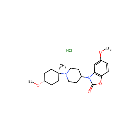 CCO[C@H]1CC[C@](C)(N2CCC(n3c(=O)oc4ccc(OC(F)(F)F)cc43)CC2)CC1.Cl